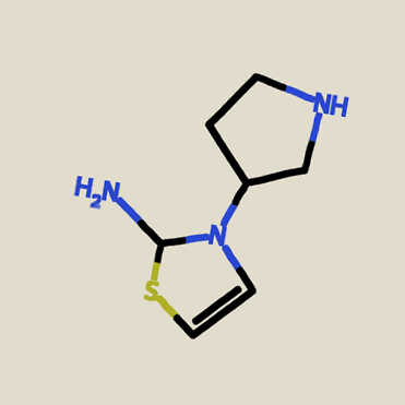 NC1SC=CN1C1CCNC1